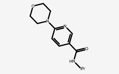 CC(C)NC(=O)c1ccc(N2CCOCC2)nc1